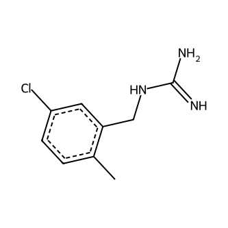 Cc1ccc(Cl)cc1CNC(=N)N